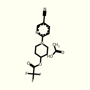 CC(=O)O.N#Cc1ccc(N2CCC(OC(=O)C(F)(F)F)CC2)nc1